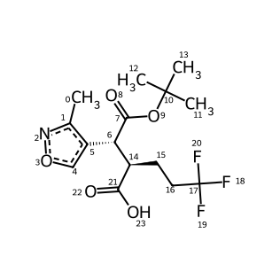 Cc1nocc1[C@H](C(=O)OC(C)(C)C)[C@@H](CCC(F)(F)F)C(=O)O